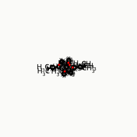 CC(C)c1ccc(-c2ccc3c(c2)-c2cccc4c2B3c2c(c(C(C)(C)C)c3c(c2C(C)(C)C)N(c2ccccc2)c2cccc5c2B3c2ccc(-c3ccc(C(C)(C)C)cc3)cc2-5)N4c2ccccc2)cc1